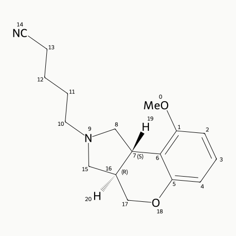 COc1cccc2c1[C@H]1CN(CCCCC#N)C[C@@H]1CO2